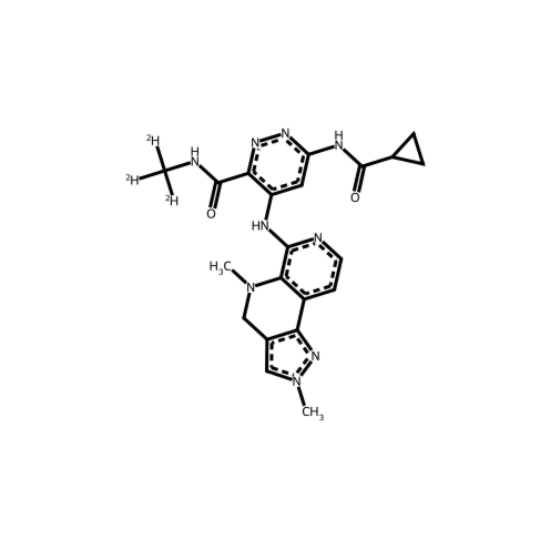 [2H]C([2H])([2H])NC(=O)c1nnc(NC(=O)C2CC2)cc1Nc1nccc2c1N(C)Cc1cn(C)nc1-2